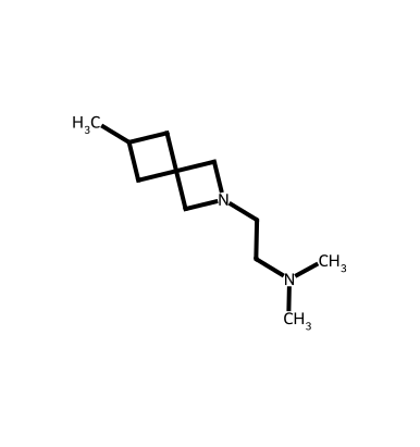 CC1CC2(C1)CN(CCN(C)C)C2